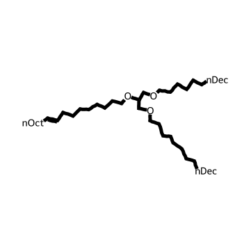 CCCCCCCCC=CCCCCCCCCOC(COCCCCCCCCCCCCCCCC)COCCCCCCCCCCCCCCCCCC